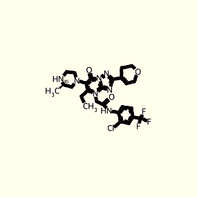 CCc1c(N2CCN[C@H](C)C2)c(=O)n2nc(C3=CCOCC3)nc2n1CC(=O)Nc1ccc(C(F)(F)F)cc1Cl